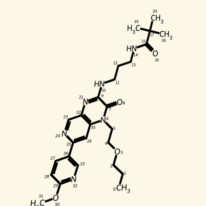 CCCOCCn1c(=O)c(NCCCNC(=O)C(C)(C)C)nc2cnc(-c3ccc(OC)nc3)cc21